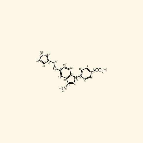 Nc1cn(-c2ccc(C(=O)O)cc2)c2ccc(OCc3ccsc3)cc12